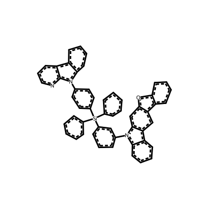 c1ccc([Si](c2ccccc2)(c2ccc(-n3c4ccccc4c4cccnc43)cc2)c2cccc(-n3c4ccccc4c4cc5c(cc43)oc3ccccc35)c2)cc1